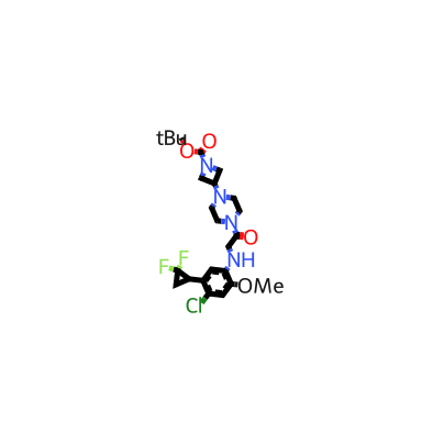 COc1cc(Cl)c(C2CC2(F)F)cc1NCC(=O)N1CCN(C2CN(C(=O)OC(C)(C)C)C2)CC1